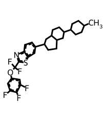 CC1CCC(C2CCC3CC(c4ccc5nc(C(F)(F)Oc6cc(F)c(F)c(F)c6)sc5c4)CCC3C2)CC1